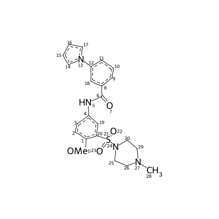 COc1ccc(NC(=O)c2cccc(-n3cccc3)c2)cc1S(=O)(=O)N1CCN(C)CC1